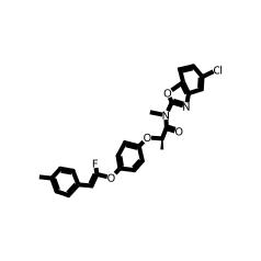 Cc1ccc(C=C(F)Oc2ccc(O[C@H](C)C(=O)N(C)c3nc4cc(Cl)ccc4o3)cc2)cc1